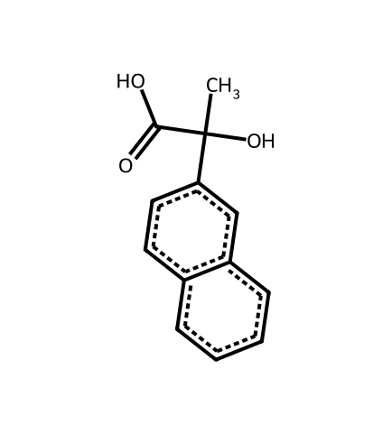 CC(O)(C(=O)O)c1ccc2ccccc2c1